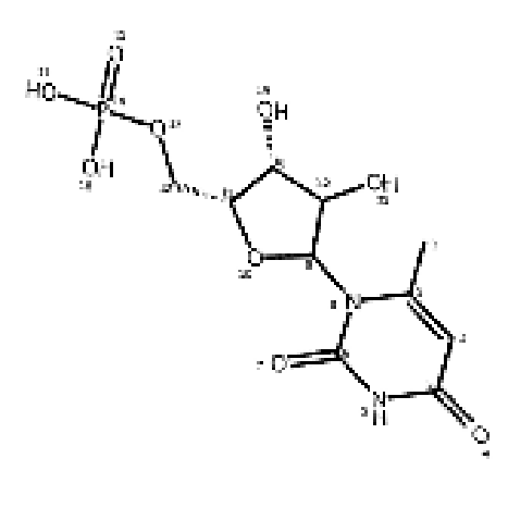 Cc1cc(=O)[nH]c(=O)n1C1O[C@H](COP(=O)(O)O)[C@H](O)C1O